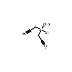 C#CC[N+](Cl)(C=O)CC#C